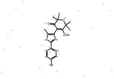 CC(=O)OC1=C(c2nc(-c3ccc(Br)cn3)sc2C)C(=O)C(C)(C)OC1(C)C